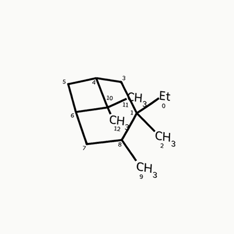 CCC1(C)CC2CC(CC1C)C2(C)C